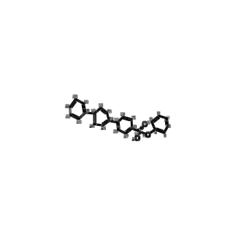 O=S(=O)(Oc1ccccc1)c1ccc(-c2ccc(-c3ccccc3)cc2)cc1